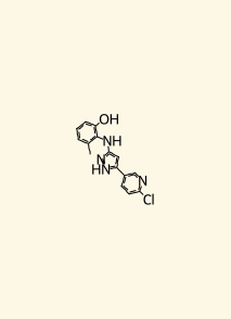 Cc1cccc(O)c1Nc1cc(-c2ccc(Cl)nc2)[nH]n1